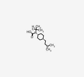 CN(C)CC[C@H]1CC[C@H](N(C(=O)O)C(C)(C)C)CC1